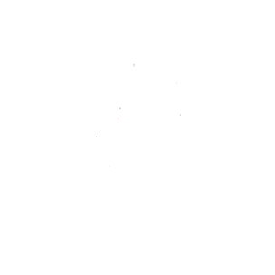 CCC=C(CC(=O)O)OC(C)(C)C